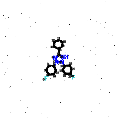 Fc1ccc(N2N=C(c3ccccc3)NN2c2ccc(F)cc2)cc1